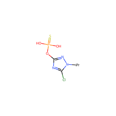 CC(C)n1nc(OP(O)(O)=S)nc1Cl